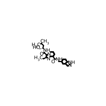 CCc1nc2c(C(=O)NCc3ccc4[nH]ncc4c3)cccn2c1C(=O)N[C@H](CO)CC(C)C